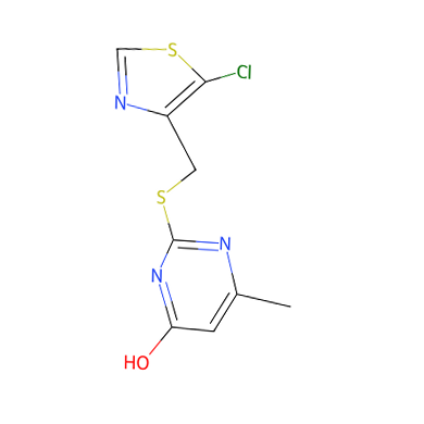 Cc1cc(O)nc(SCc2ncsc2Cl)n1